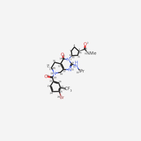 CNC(=O)[C@@H]1CC[C@H](n2c(NC(C)C)nc3c(c2=O)C[C@@H](C)N(C(=O)c2ccc(Br)c(C(F)(F)F)c2)C3)C1